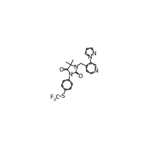 CC1(C)C(=O)N(c2ccc(SC(F)(F)F)cc2)C(=O)N1Cc1ccncc1-n1cccn1